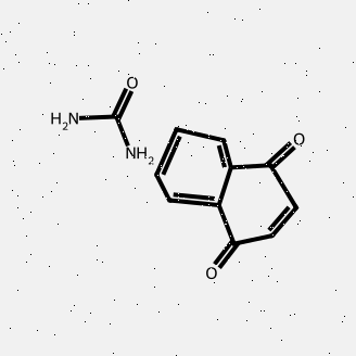 NC(N)=O.O=C1C=CC(=O)c2ccccc21